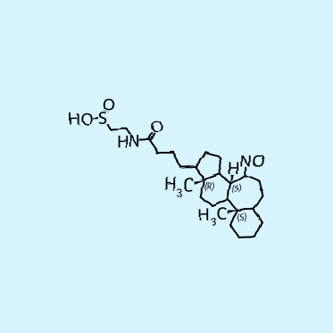 C[C@]12CCCCC1CCC(N=O)[C@@H]1C2CC[C@]2(C)C(CCCC(=O)NCCS(=O)O)CCC12